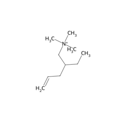 C=CCC(CC)C[N+](C)(C)C